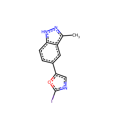 Cc1n[nH]c2ccc(-c3cnc(I)o3)cc12